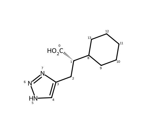 O=C(O)[C@@H](Cc1c[nH]nn1)C1CCCCC1